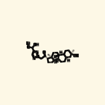 CCOC(O)c1cnn(CC(=O)[C@H]2CC[C@H]3[C@@H]4CC[C@@H]5C[C@](C)(O)CC[C@@H]5[C@H]4CC[C@]23C)n1